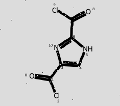 O=C(Cl)c1c[nH]c(C(=O)Cl)n1